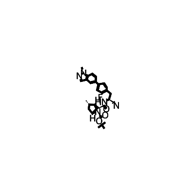 C[C@H]1C[C@@H]2C[C@H]1[C@@H](C(=O)N[C@H](C#N)Cc1ccc(-c3ccc4c(cnn4C)c3)cc1F)N2C(=O)OC(C)(C)C